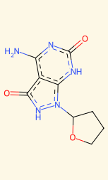 Nc1nc(=O)[nH]c2c1c(=O)[nH]n2C1CCCO1